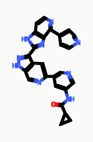 O=C(Nc1cncc(-c2cc3c(-c4nc5c(-c6ccncc6)nccc5[nH]4)n[nH]c3cn2)c1)C1CC1